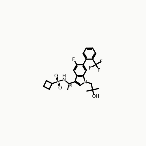 C[C@@H](NS(=O)(=O)C1CCC1)c1cn(CC(C)(C)O)c2cc(-c3ccccc3C(F)(F)F)c(F)cc12